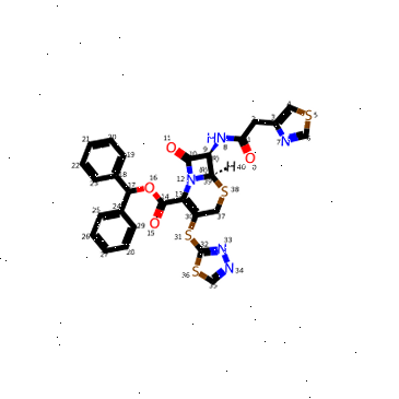 O=C(Cc1cscn1)N[C@@H]1C(=O)N2C(C(=O)OC(c3ccccc3)c3ccccc3)=C(Sc3nncs3)CS[C@H]12